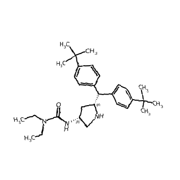 CCN(CC)C(=O)N[C@H]1CN[C@@H](C(c2ccc(C(C)(C)C)cc2)c2ccc(C(C)(C)C)cc2)C1